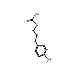 CC[C@H](C)C(=O)OCCCc1ccc(O)cc1